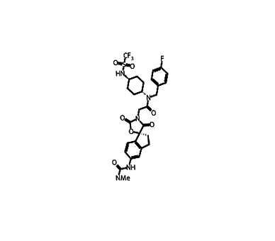 CNC(=O)Nc1ccc2c(c1)CC[C@@]21OC(=O)N(CC(=O)N(Cc2ccc(F)cc2)[C@H]2CC[C@H](NS(=O)(=O)C(F)(F)F)CC2)C1=O